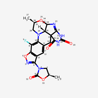 C[C@@H]1CN(c2noc3c(F)c4c(cc23)CC23C(=O)NC(=O)NC2=N[C@@H]2O[C@H](C)CN4[C@H]23)C(=O)O1